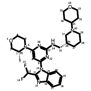 C[C@@H]1COCCN1c1cc(-n2c(C(F)F)nc3ccccc32)nc(NC[C@H]2CCCN(C3CCOCC3)C2)n1